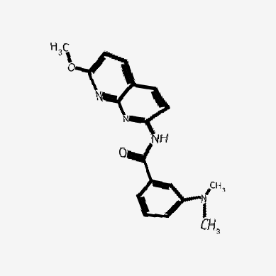 COc1ccc2ccc(NC(=O)c3cccc(N(C)C)c3)nc2n1